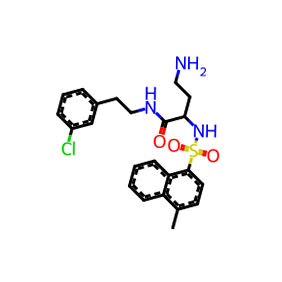 Cc1ccc(S(=O)(=O)NC(CCN)C(=O)NCCc2cccc(Cl)c2)c2ccccc12